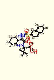 CC(C)(C)[C@H](NC(=O)[C@@H](NS(=O)(=O)c1ccc2ccccc2c1)C1CCCCC1)C(=O)O